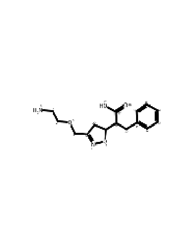 NCCOCC1=NOC(C(Cc2ccccc2)C(=O)O)C1